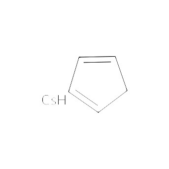 C1=CCC=C1.[CsH]